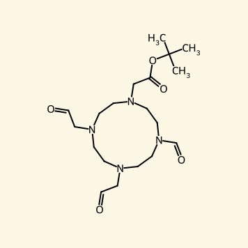 CC(C)(C)OC(=O)CN1CCN(C=O)CCN(CC=O)CCN(CC=O)CC1